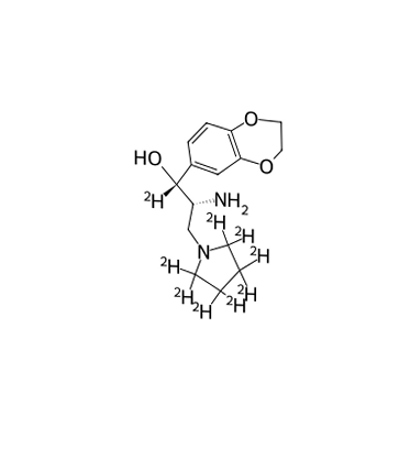 [2H]C1([2H])N(C[C@@H](N)[C@]([2H])(O)c2ccc3c(c2)OCCO3)C([2H])([2H])C([2H])([2H])C1([2H])[2H]